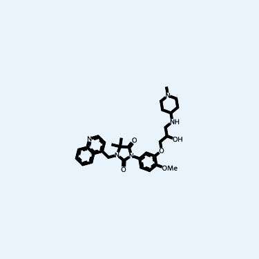 COc1ccc(N2C(=O)N(Cc3ccnc4ccccc34)C(C)(C)C2=O)cc1OCC(O)CNC1CCN(C)CC1